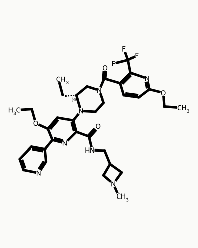 CCOc1ccc(C(=O)N2CCN(c3cc(OCC)c(-c4cccnc4)nc3C(=O)NCC3CN(C)C3)[C@H](CC)C2)c(C(F)(F)F)n1